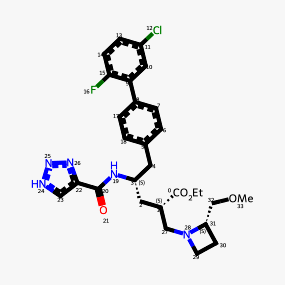 CCOC(=O)[C@@H](C[C@@H](Cc1ccc(-c2cc(Cl)ccc2F)cc1)NC(=O)c1c[nH]nn1)CN1CC[C@H]1COC